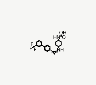 O=C(O)N[C@H]1CC[C@@H](N[C@@H]2C[C@H]2c2ccc(-c3cccc(C(F)(F)F)c3)cc2)CC1